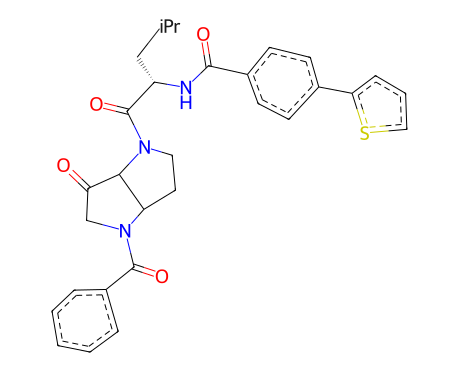 CC(C)C[C@H](NC(=O)c1ccc(-c2cccs2)cc1)C(=O)N1CCC2C1C(=O)CN2C(=O)c1ccccc1